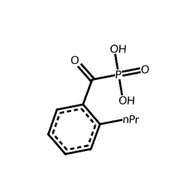 CCCc1ccccc1C(=O)P(=O)(O)O